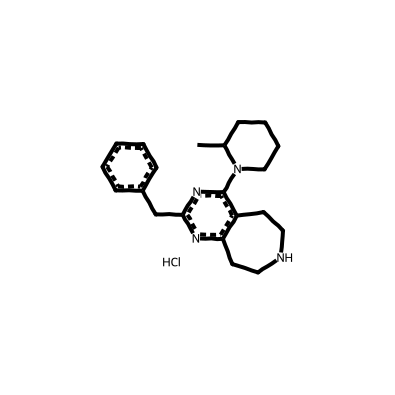 CC1CCCCN1c1nc(Cc2ccccc2)nc2c1CCNCC2.Cl